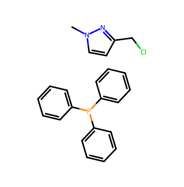 Cn1ccc(CCl)n1.c1ccc(P(c2ccccc2)c2ccccc2)cc1